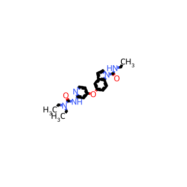 CCNC(=O)n1ccc2cc(Oc3ccnc(NC(=O)N(CC)CC)c3)ccc21